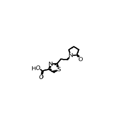 O=C(O)c1csc(CCN2CCCC2=O)n1